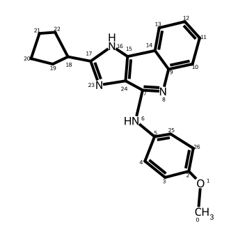 COc1ccc(Nc2nc3ccccc3c3[nH]c(C4CCCC4)nc23)cc1